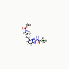 CC(C)(C)OC(=O)N1CC2(CCC(c3cccc4nc(NC(=O)[C@H]5CC5(F)F)nn34)CC2)C1